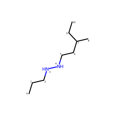 CCCNNCCC(C)CC